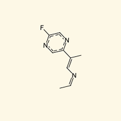 C/C=N\C=C(/C)c1cnc(F)cn1